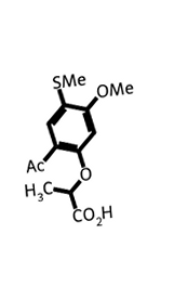 COc1cc(OC(C)C(=O)O)c(C(C)=O)cc1SC